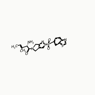 C/C=C(\C)[C@H](N)C(=O)N1Cc2cn(S(=O)(=O)c3ccc4ncsc4c3)nc2C1